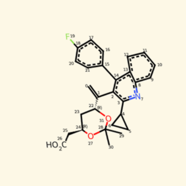 C=C(c1c(C2CC2)nc2ccccc2c1-c1ccc(F)cc1)[C@H]1C[C@H](CC(=O)O)OC(C)(C)O1